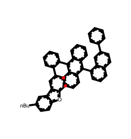 CCCCc1ccc2oc3ccc(-c4ccccc4-c4c5ccccc5c(-c5cccc6ccc(-c7ccccc7)cc56)c5ccccc45)cc3c2c1